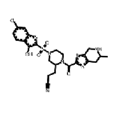 CC1Cc2nc(C(=O)N3CCN(S(=O)(=O)c4sc5cc(Cl)ccc5c4O)CC3CCC#N)sc2CN1